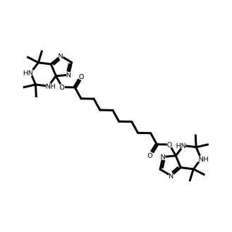 CC1(C)NC(C)(C)C2=NC=NC2(OC(=O)CCCCCCCCC(=O)OC23N=CN=C2C(C)(C)NC(C)(C)N3)N1